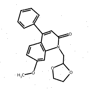 COc1ccc2c(-c3ccccc3)cc(=O)n(CC3OCCO3)c2c1